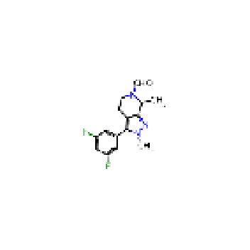 CC1c2nn(C)c(-c3cc(F)cc(F)c3)c2CCN1C=O